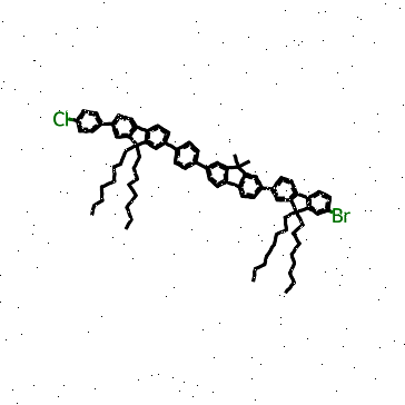 CCCCCCCCC1(CCCCCCCC)c2cc(Br)ccc2-c2ccc(-c3ccc4c(c3)C(C)(C)c3cc(-c5ccc(-c6ccc7c(c6)C(CCCCCCCC)(CCCCCCCC)c6cc(-c8ccc(Cl)cc8)ccc6-7)cc5)ccc3-4)cc21